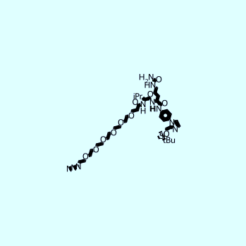 CC(C)C(NC(=O)CCOCCOCCOCCOCCOCCOCCN=[N+]=[N-])C(=O)NC(CCCNC(N)=O)C(=O)Nc1ccc(-n2ccnc2CO[Si](C)(C)C(C)(C)C)cc1